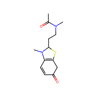 CC(=O)N(C)CCC1SC2=C(C=CC(=O)C2)N1C